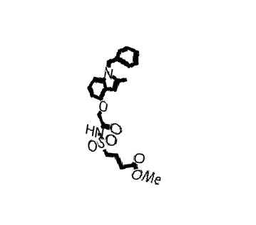 COC(=O)CCCS(=O)(=O)NC(=O)COc1cccc2c1cc(C)n2Cc1ccccc1